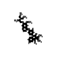 CCN(CC)C(C)COc1cc2ncnc(Oc3ccc(N(C(=O)C4(C(N)=O)[C@H](C)[C@H]4C)c4ccc(F)cc4)cc3F)c2cc1OC